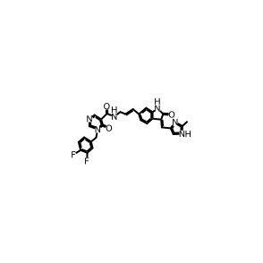 Cc1nc(/C=C2\C(=O)Nc3cc(/C=C/CNC(=O)c4cncn(Cc5ccc(F)c(F)c5)c4=O)ccc32)c[nH]1